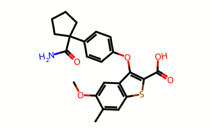 COc1cc2c(Oc3ccc(C4(C(N)=O)CCCC4)cc3)c(C(=O)O)sc2cc1C